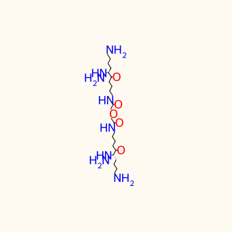 NCCCC[C@H](NN)C(=O)CCCCNC(=O)COCC(=O)NCCCCC(=O)[C@H](CCCCN)NN